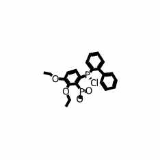 CCOc1ccc(P(Cl)c2ccccc2-c2ccccc2)c(P(=O)=O)c1OCC